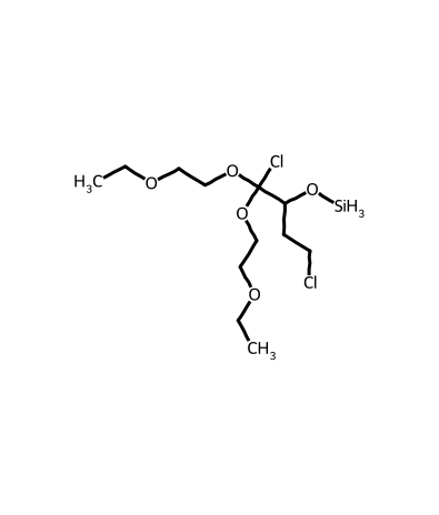 CCOCCOC(Cl)(OCCOCC)C(CCCl)O[SiH3]